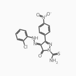 NC(=S)N1N=C(c2ccc([N+](=O)[O-])cc2)/C(=N\Nc2ccccc2Cl)C1=O